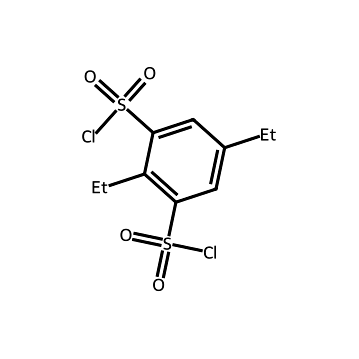 CCc1cc(S(=O)(=O)Cl)c(CC)c(S(=O)(=O)Cl)c1